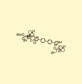 COC(=O)N[C@H](C(=O)N1[C@@H]2CCC[C@@H]2C[C@H]1c1nc(-c2ccc(-c3ccc(-c4c[nH]c([C@@H]5C[C@H]6CCC[C@H]6N5C(=O)CC(C)C)n4)cc3)cc2)c[nH]1)C(C)C